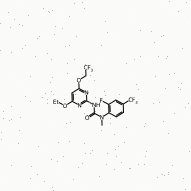 CCOc1cc(OCC(F)(F)F)nc(NC(=O)N(C)c2ccc(C(F)(F)F)cc2F)n1